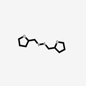 C1COC(CSSCC2CCCO2)C1